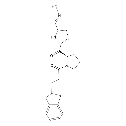 O=C(C1NC(C=NO)CS1)[C@H]1CCCN1C(=O)CCC1Cc2ccccc2C1